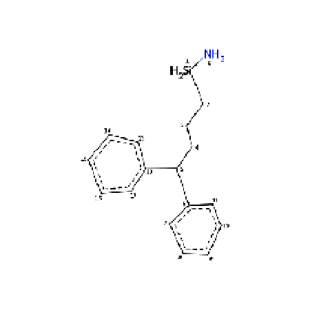 N[SiH2]CCCC(c1ccccc1)c1ccccc1